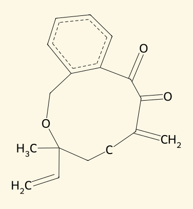 C=CC1(C)CCC(=C)C(=O)C(=O)c2ccccc2CO1